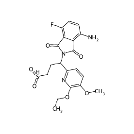 CCOc1nc(C(CC[SH](=O)=O)N2C(=O)c3c(N)ccc(F)c3C2=O)ccc1OC